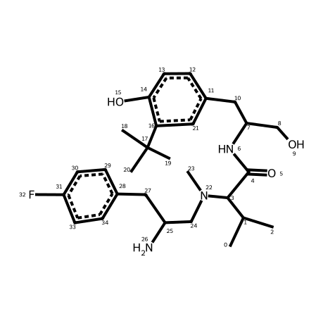 CC(C)C(C(=O)NC(CO)Cc1ccc(O)c(C(C)(C)C)c1)N(C)CC(N)Cc1ccc(F)cc1